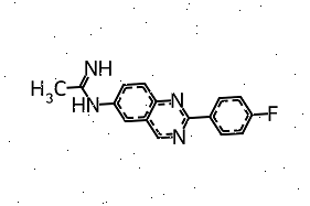 CC(=N)Nc1ccc2nc(-c3ccc(F)cc3)ncc2c1